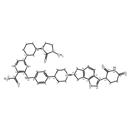 CN1CCN([C@@H]2CCCN(c3cnc(C(N)=O)c(Nc4ccc(C5CCN([C@H]6Cc7ccc8c(C9CCC(=O)NC9=O)noc8c7C6)CC5)cc4)n3)C2)C1=O